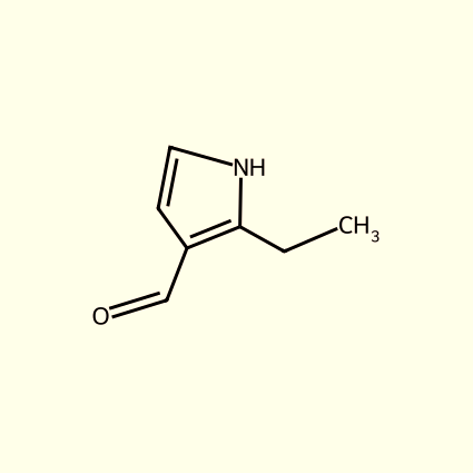 CCc1[nH]ccc1C=O